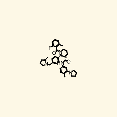 Cc1ccc(NC(=O)[C@H]2CCCN(C(=O)c3c(C)cccc3F)[C@H]2c2ccc(CN3CCC[C@H]3C)cc2)cc1N1CCCC1